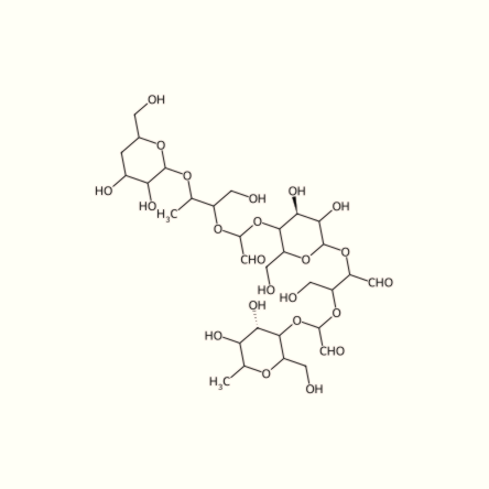 CC(OC1OC(CO)CC(O)C1O)C(CO)OC(C=O)OC1C(CO)OC(OC(C=O)C(CO)OC(C=O)OC2C(CO)OC(C)C(O)[C@@H]2O)C(O)[C@@H]1O